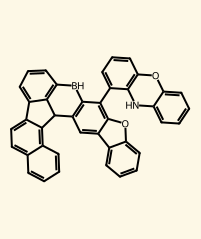 B1c2cccc3c2C(c2cc4c(oc5ccccc54)c(-c4cccc5c4Nc4ccccc4O5)c21)c1c-3ccc2ccccc12